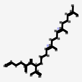 C=C(CCC=O)NC(CSC/C=C(\C)CC/C=C(\C)CCC=C(C)C)C(=C)C